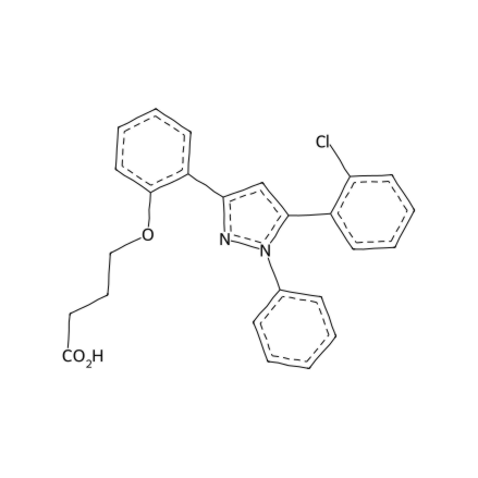 O=C(O)CCCOc1ccccc1-c1cc(-c2ccccc2Cl)n(-c2ccccc2)n1